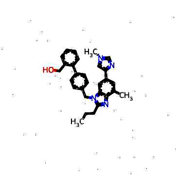 CCCc1nc2c(C)cc(-c3cn(C)cn3)cc2n1Cc1ccc(-c2ccccc2CO)cc1